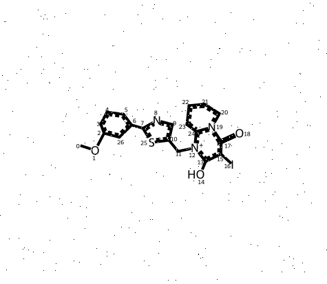 COc1cccc(-c2ncc(C[n+]3c(O)c(I)c(=O)n4ccccc43)s2)c1